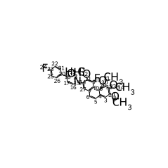 COc1cc(/C=C\c2cc(F)c(OC)c(N/C=C\C(=O)c3ccc(F)cc3)c2)cc(OC)c1OC